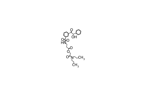 CCCN(CCC)C(=O)COC(=O)CCNS(=O)(=O)c1cccc(C(=O)C(O)c2ccccc2)c1